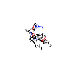 CC#Cc1ccc(CN(C(=O)[C@H]2CNCCO2)C2CC2)cc1N(C)CCCOC